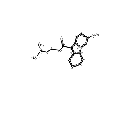 CSc1ccc2c(C(=O)OCCN(C)C)c3ccccc3n2c1